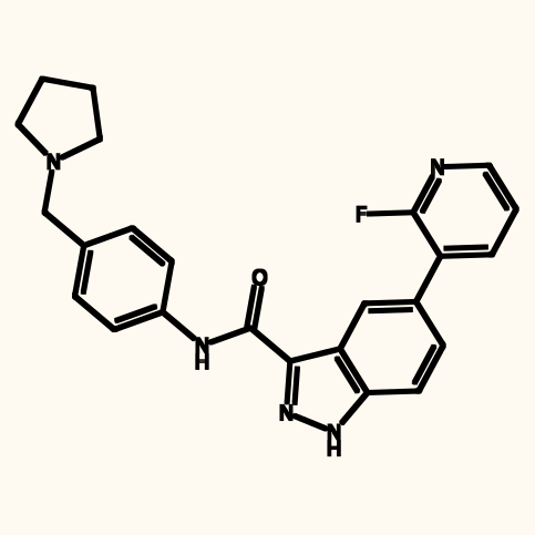 O=C(Nc1ccc(CN2CCCC2)cc1)c1n[nH]c2ccc(-c3cccnc3F)cc12